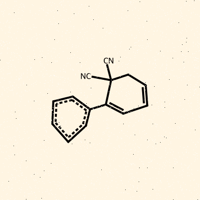 N#CC1(C#N)CC=CC=C1c1ccccc1